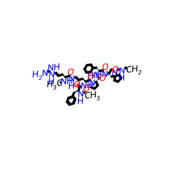 C=CN/C=N\C1(C[C@@H](C=O)NC(=O)[C@@H](CC2CCCCC2)NC(=O)[C@@H]2CCCN2C(=O)[C@H](CCCNC(=O)[C@H](CCCNC(=N)N)NC)NC(=O)[C@H](Cc2ccccc2)NC(C)=O)CCCC1